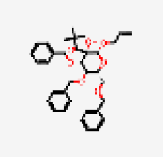 C=CCO[C@@H]1O[C@H](COCc2ccccc2)[C@@H](OCc2ccccc2)[C@H](OCc2ccccc2)[C@]1(O)C(=O)C(C)(C)C